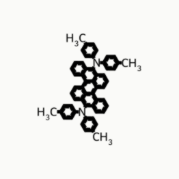 Cc1ccc(N(c2ccc(C)cc2)c2c3ccccc3c3c4cccc5c(N(c6ccc(C)cc6)c6ccc(C)cc6)c6ccccc6c(c6cccc2c63)c54)cc1